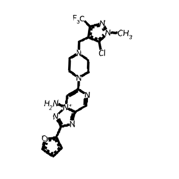 Cn1nc(C(F)(F)F)c(CN2CCN(C3=C[N+]4(N)N=C(c5ccco5)N=C4C=N3)CC2)c1Cl